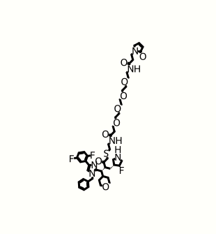 O=C(CCOCCOCCOCCOCCNC(=O)CCN1CC=CC1=O)NCCSCC(=O)C(C[C@@H]1CNC[C@@H]1F)[C@@H](c1nc(-c2cc(F)ccc2F)cn1Cc1ccccc1)C1CCOCC1